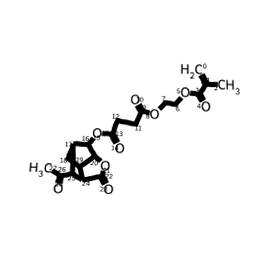 C=C(C)C(=O)OCCOC(=O)CCC(=O)OC1C2CC3C1OC(=O)C3C2C(C)=O